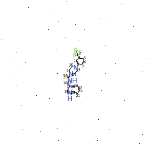 FC(F)(F)c1cccc(N2CCN(C(=S)N/C=C3/CNc4ccccc43)CC2)c1